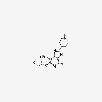 CCCn1c(SC2CCCC2)nc(=O)c2c1N=C(C1CCNCC1)[N]2